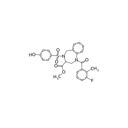 COC(=O)C1CN(C(=O)c2cccc(F)c2C)c2ccccc2CN1S(=O)(=O)c1ccc(O)cc1